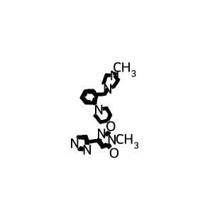 CN1CCN(Cc2ccccc2N2CCC(Oc3nc(-c4ccncn4)cc(=O)n3C)CC2)CC1